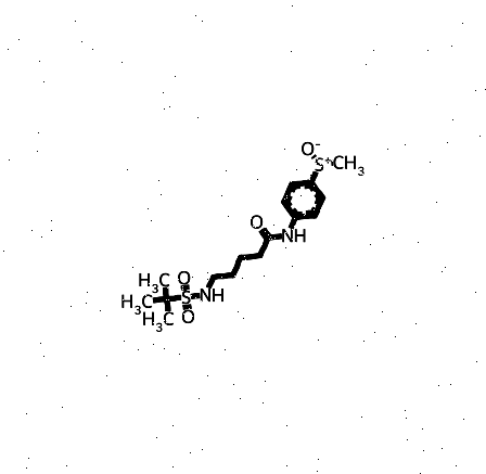 C[S+]([O-])c1ccc(NC(=O)CCCCNS(=O)(=O)C(C)(C)C)cc1